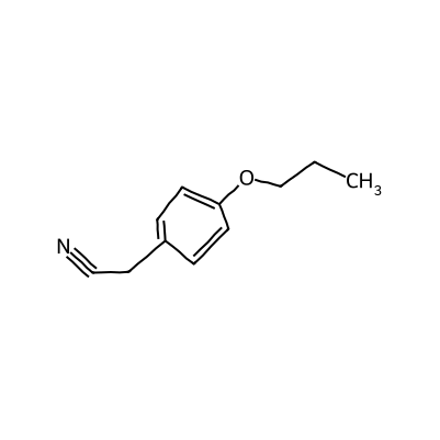 CCCOc1ccc(CC#N)cc1